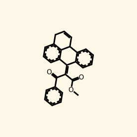 COC(=O)/C(C(=O)c1ccccc1)=C1\c2ccccc2C2C=CCc3cccc1c32